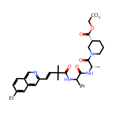 CCc1ccc2cnc(/C=C/C(C)(C)C(=O)NC(C(=O)N[C@@H](C)C(=O)N3CCC[C@@H](C(=O)OCC(Cl)(Cl)Cl)C3)C(C)C)cc2c1